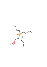 CCCCP(C)(CCCC)(CCCC)CCOC